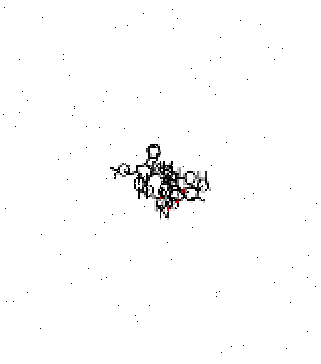 COc1c(C)cc2c(c1O)[C@H]1[C@@H]3[C@@H]4SC[C@]5(NC(COC(C)C)Cc6c5[nH]c5ccccc65)C(=O)OC[C@@H](c5c6c(c(C)c(OC(C)=O)c54)OCO6)N3C(C#N)(C2)CN1C